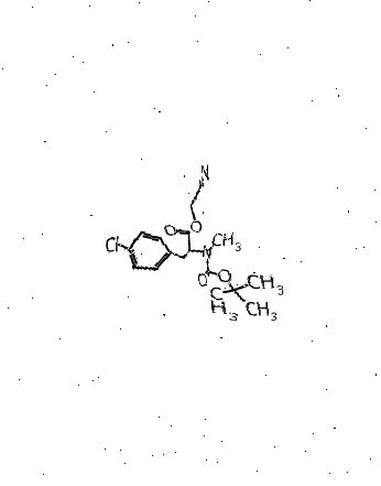 CN(C(=O)OC(C)(C)C)[C@@H](Cc1ccc(Cl)cc1)C(=O)OCC#N